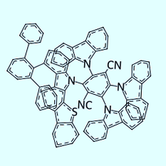 N#Cc1c(-n2c3ccccc3c3ccccc32)c(-n2c3ccccc3c3ccccc32)c(C#N)c(-n2c3cccc(-c4c(-c5ccccc5)cccc4-c4ccccc4)c3c3ccc4c5ccccc5sc4c32)c1-n1c2ccccc2c2ccccc21